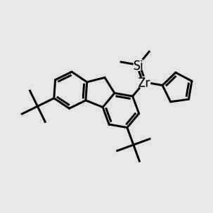 C[Si](C)=[Zr]([C]1=CC=CC1)[c]1cc(C(C)(C)C)cc2c1Cc1ccc(C(C)(C)C)cc1-2